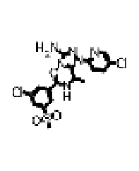 CC(NC(=O)c1cc(Cl)cc(S(C)(=O)=O)c1)c1nc(N)nn1-c1ccc(Cl)cn1